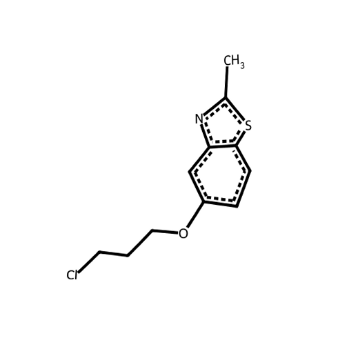 Cc1nc2cc(OCCCCl)ccc2s1